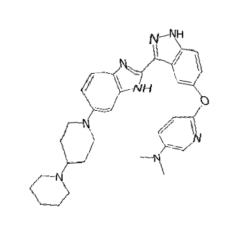 CN(C)c1ccc(Oc2ccc3[nH]nc(-c4nc5ccc(N6CCC(N7CCCCC7)CC6)cc5[nH]4)c3c2)nc1